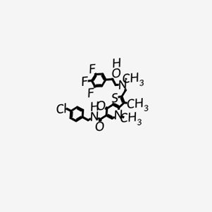 Cc1c(CN(C)CC(O)c2cc(F)c(F)c(F)c2)sc2c(=O)c(C(=O)NCc3ccc(Cl)cc3)cn(C)c12